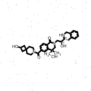 CC1(C)CN(C[C@H](O)[C@H]2Cc3ccccc3CN2)C(=O)c2ccc(C(=O)N3CCC4(CC3)CC(O)C4)cc21.Cl